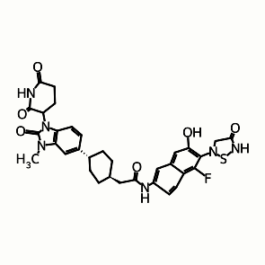 Cn1c(=O)n(C2CCC(=O)NC2=O)c2ccc([C@H]3CC[C@H](CC(=O)Nc4ccc5c(F)c(N6CC(=O)NS6)c(O)cc5c4)CC3)cc21